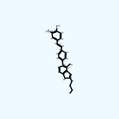 CCCCC1=Cc2c(ccc(-c3ccc(/C=C/c4ccc(F)c(F)c4)cc3)c2C)C1